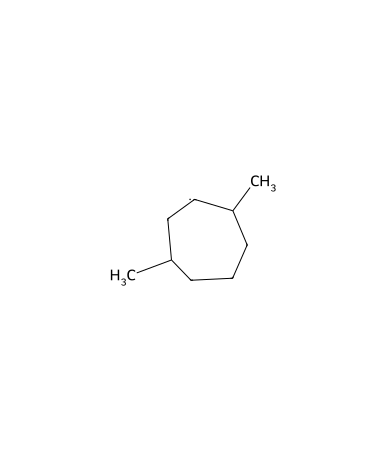 CC1[CH]CC(C)CCC1